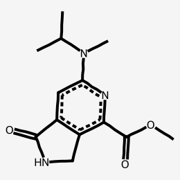 COC(=O)c1nc(N(C)C(C)C)cc2c1CNC2=O